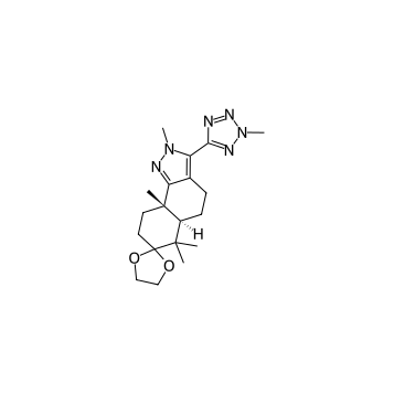 Cn1nnc(-c2c3c(nn2C)[C@@]2(C)CCC4(OCCO4)C(C)(C)[C@@H]2CC3)n1